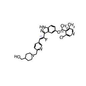 Cc1cncc(Cl)c1[C@H](C)Oc1ccc2[nH]nc(/C(F)=C/c3ccc(CN4CCC(CO)CC4)nc3)c2c1